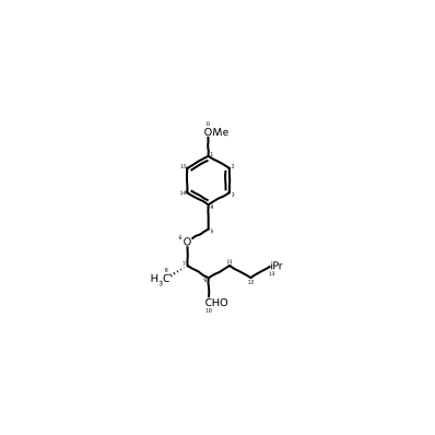 COc1ccc(CO[C@@H](C)C(C=O)CCC(C)C)cc1